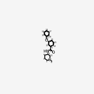 CN1CCC[C@@H](NC(=O)c2cccc(Oc3ccccc3)c2)C1